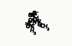 COCn1cc([N+](=O)[O-])c(OC2CO[C@@H]2C)n1